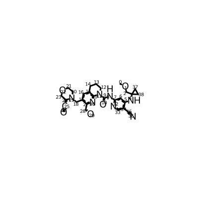 COCC1(Nc2cc(NC(=O)N3CCCc4cc(CN5CCOCC5=C=O)c(C=O)nc43)ncc2C#N)CC1